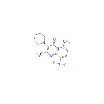 Cc1nc2c(C(F)(F)F)ccc(C)n2c(=O)c1N1CCCCC1